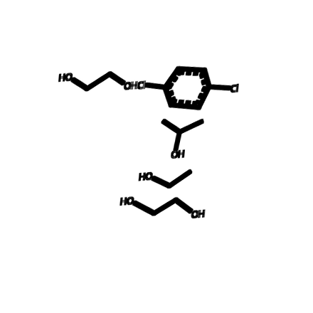 CC(C)O.CCO.Clc1ccc(Cl)cc1.OCCO.OCCO